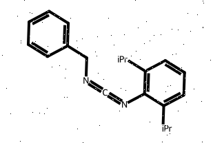 CC(C)c1cccc(C(C)C)c1N=C=NCc1ccccc1